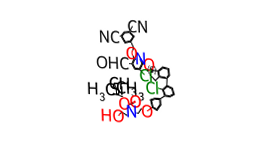 C[Si](C)(C)CCOC(=O)N(CCO)CCOc1ccc(-c2cccc(-c3cccc4c3CC[C@@H]4Oc3nc(OCc4cc(C#N)cc(C#N)c4)c(C=O)cc3Cl)c2Cl)cc1